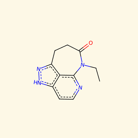 CCN1C(=O)CCc2n[nH]c3ccnc1c23